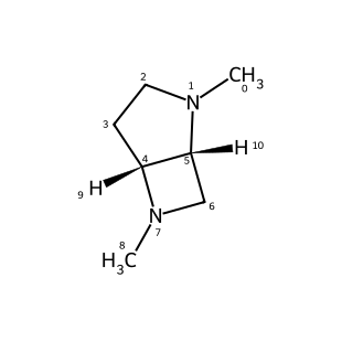 CN1CC[C@@H]2[C@H]1CN2C